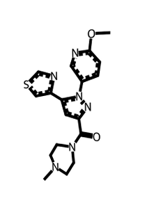 COc1ccc(-n2nc(C(=O)N3CCN(C)CC3)cc2-c2cscn2)cn1